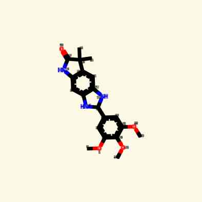 COc1cc(C2Nc3cc4c(cc3N2)C(C)(C)C(=O)N4)cc(OC)c1OC